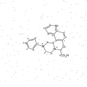 O=C(O)C(Oc1ccc2ncccc2c1)N1CCN(c2ccncc2)CC1